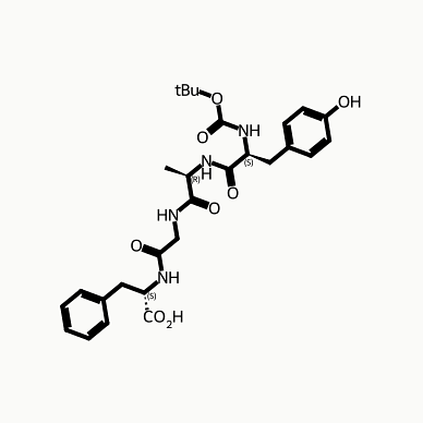 C[C@@H](NC(=O)[C@H](Cc1ccc(O)cc1)NC(=O)OC(C)(C)C)C(=O)NCC(=O)N[C@@H](Cc1ccccc1)C(=O)O